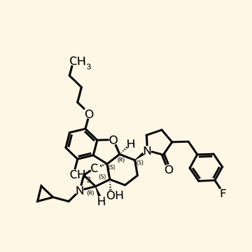 CCCCOc1ccc(C)c2c1O[C@H]1[C@@H](N3CCC(Cc4ccc(F)cc4)C3=O)CC[C@@]3(O)[C@H]4C(C[C@]213)N4CC1CC1